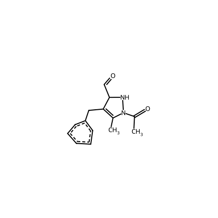 CC(=O)N1NC(C=O)C(Cc2ccccc2)=C1C